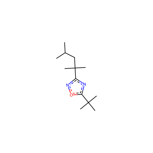 CC(C)CC(C)(C)c1noc(C(C)(C)C)n1